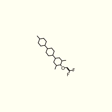 CC1CCC(C2CCC(C3CC(C)C(OC=C(F)F)C(C)C3)CC2)CC1